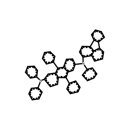 c1ccc(-c2c3ccc(N(c4ccccc4)c4ccc5c6c(cccc46)-c4ccccc4-5)cc3c(-c3ccccc3)c3ccc(N(c4ccccc4)c4ccccc4)cc23)cc1